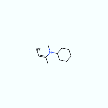 C/C(=C/C(C)C)N(C)C1CCCCC1